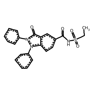 CCS(=O)(=O)NC(=O)c1ccc2c(c1)c(=O)n(-c1ccccc1)n2-c1ccccc1